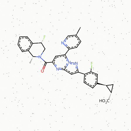 Cc1ccc(-c2cc(C(=O)N3C[C@@H](F)c4ccccc4[C@H]3C)nc3cc(-c4ccc([C@H]5C[C@@H]5C(=O)O)cc4F)nn23)nc1